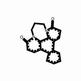 O=c1ccc2c3ccccc3c3ccc(=O)n4c3c2n1CCC4